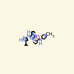 CN1CCC(NC(=O)C2CCCN2c2nc(Nc3cc(C4CC4)[nH]n3)c3cccn3n2)CC1